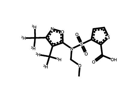 [2H]C([2H])([2H])c1noc(N(COC)S(=O)(=O)c2ccsc2C(=O)O)c1C([2H])([2H])[2H]